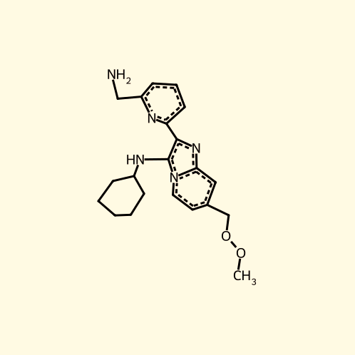 COOCc1ccn2c(NC3CCCCC3)c(-c3cccc(CN)n3)nc2c1